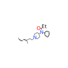 C/C=C\C=C(/C)CCN1CCC(N(C(=O)CC)c2ccccc2)CC1